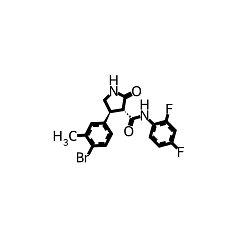 Cc1cc([C@H]2CNC(=O)[C@@H]2C(=O)Nc2ccc(F)cc2F)ccc1Br